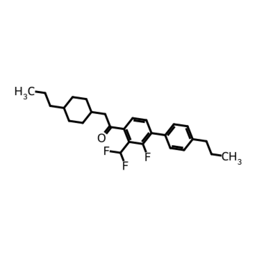 CCCc1ccc(-c2ccc(C(=O)CC3CCC(CCC)CC3)c(C(F)F)c2F)cc1